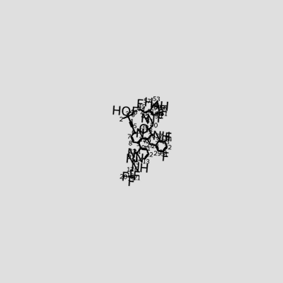 CC(C)(O)C#Cc1ccc(-c2cccn3c(NCC(F)(F)F)nnc23)c([C@H](Cc2cc(F)cc(F)c2)C(=N)C(=O)Cn2nc(C(F)F)c3c2C(F)(F)[C@@H]2C[C@H]32)n1